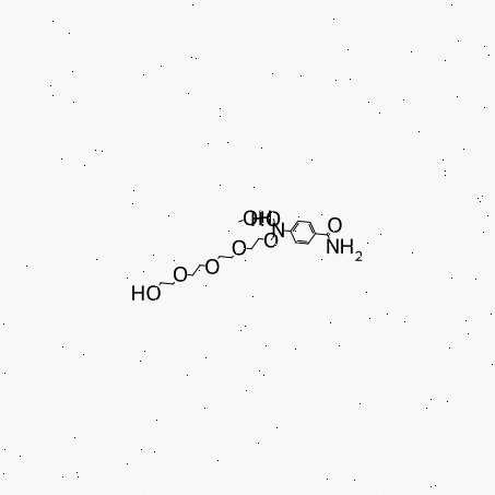 CO.NC(=O)c1ccc(N(O)OCCOCCOCCOCCO)cc1